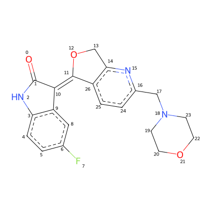 O=C1Nc2ccc(F)cc2/C1=C1/OCc2nc(CN3CCOCC3)ccc21